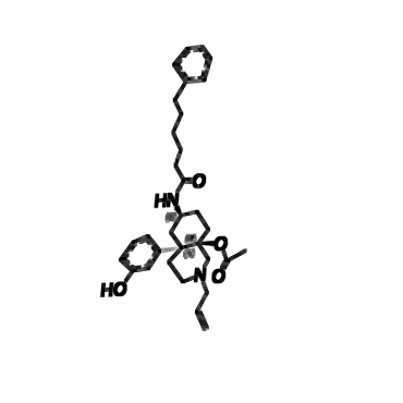 C=CCN1CC[C@@]2(c3cccc(O)c3)C[C@@H](NC(=O)CCCCCc3ccccc3)CC[C@]2(OC(C)=O)C1